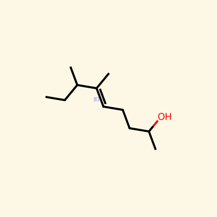 CCC(C)/C(C)=C/CCC(C)O